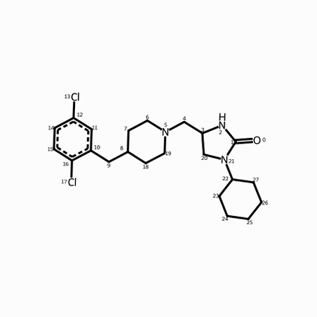 O=C1NC(CN2CCC(Cc3cc(Cl)ccc3Cl)CC2)CN1C1CCCCC1